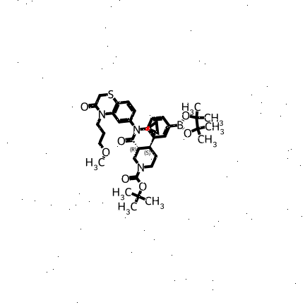 COCCCN1C(=O)CSc2ccc(N(C(=O)[C@H]3CN(C(=O)OC(C)(C)C)CC[C@@H]3c3cccc(B4OC(C)(C)C(C)(C)O4)c3)C3CC3)cc21